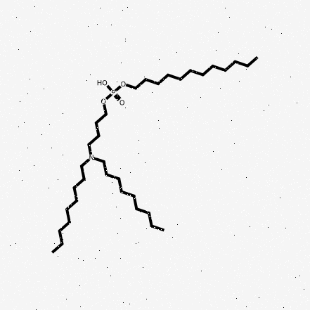 CCCCCCCCCCCCOP(=O)(O)OCCCCN(CCCCCCCCC)CCCCCCCCC